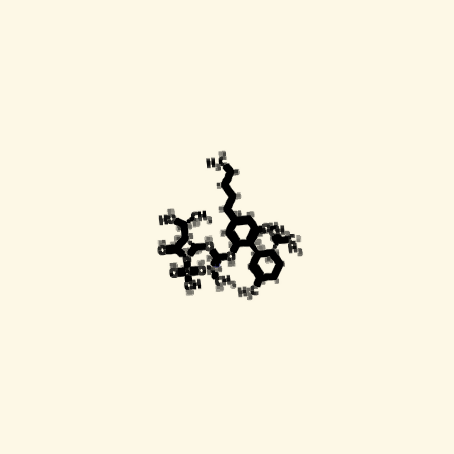 C=C(C)[C@@H]1CCC(C)=C[C@H]1c1c(O)cc(CCCCC)cc1O/C(=N\C)OC1[C@@H]([C@@H](C)O)C(=O)N1S(=O)(=O)O